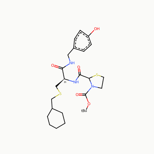 CC(C)(C)OC(=O)N1CCSC1C(=O)N[C@@H](CSCC1CCCCC1)C(=O)NCc1ccc(O)cc1